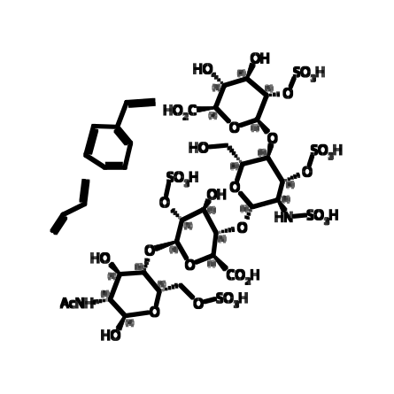 C=CC=C.C=Cc1ccccc1.CC(=O)N[C@@H]1[C@@H](O)[C@H](O[C@@H]2O[C@H](C(=O)O)[C@@H](O[C@@H]3O[C@H](CO)[C@@H](O[C@H]4O[C@@H](C(=O)O)[C@H](O)[C@@H](O)[C@@H]4OS(=O)(=O)O)[C@H](OS(=O)(=O)O)[C@H]3NS(=O)(=O)O)[C@H](O)[C@H]2OS(=O)(=O)O)[C@H](COS(=O)(=O)O)O[C@H]1O